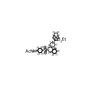 CCOC(=O)N1C2CCC(N3CCC4(CC3)CN(S(=O)(=O)c3ccc(NC(C)=O)cc3)Cc3ccccc34)CC1CC2